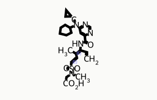 C=C/C(NC(=O)c1cc(N(CC2CC2)C2CCCCC2)ncn1)=C(C)\C=C\S(=O)(=O)N(C)CC(=O)O